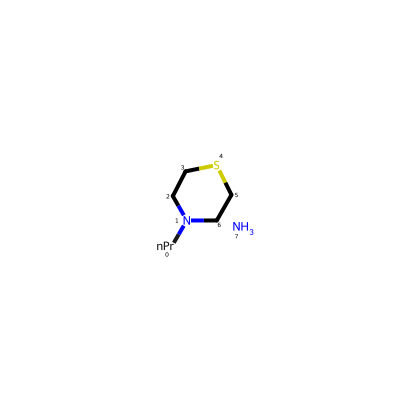 CCCN1CCSCC1.N